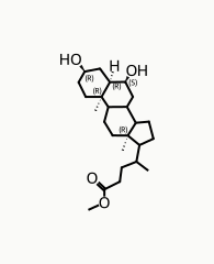 COC(=O)CCC(C)C1CCC2C3C[C@H](O)[C@@H]4C[C@H](O)CC[C@]4(C)C3CC[C@]12C